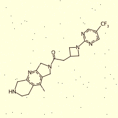 Cc1c2c(nc3c1CN(C(=O)CC1CN(c4ncc(C(F)(F)F)cn4)C1)C3)CNCC2